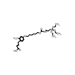 CCO[Si](CCCNC(=O)OCCCCCCOc1ccc(CC=CC(=O)O)c(C)c1)(OCC)OCC